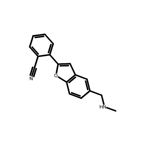 CNCc1ccc2oc(-c3ccccc3C#N)cc2c1